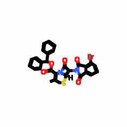 CC1=C(C(=O)OC(c2ccccc2)c2ccccc2)N2C(=O)C(N3C(=O)c4cccc(Br)c4C3=O)[C@@H]2SC1